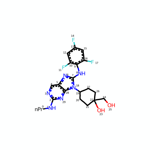 CCCNc1ncc2nc(Nc3c(F)cc(F)cc3F)n(C3CCC(O)(CO)CC3)c2n1